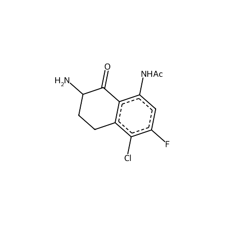 CC(=O)Nc1cc(F)c(Cl)c2c1C(=O)C(N)CC2